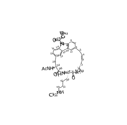 C=C1CC=CCc2ccc3c(c2)c2cc(ccc2n3C(=O)OC(C)(C)C)CC(NC(C)=O)C(=O)N[C@@H](CCCCNCl)C(=O)N1